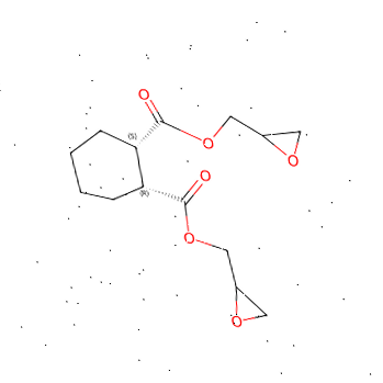 O=C(OCC1CO1)[C@H]1CCCC[C@H]1C(=O)OCC1CO1